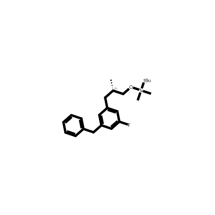 C[C@H](CO[Si](C)(C)C(C)(C)C)Cc1cc(F)cc(Cc2ccccc2)c1